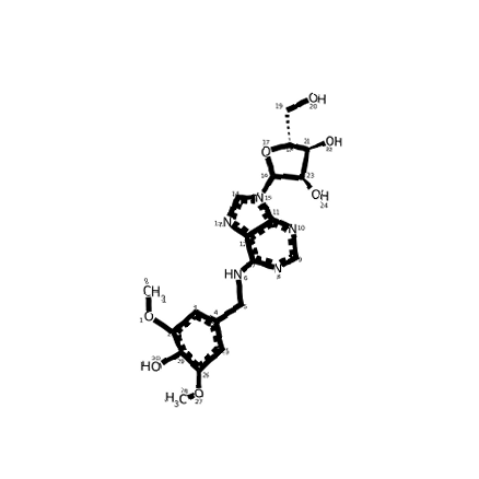 COc1cc(CNc2ncnc3c2ncn3C2O[C@H](CO)[C@@H](O)[C@H]2O)cc(OC)c1O